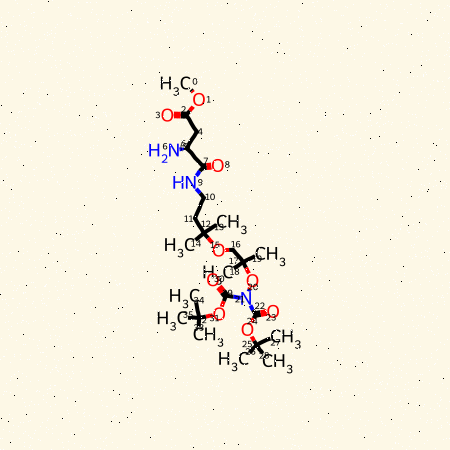 COC(=O)C[C@H](N)C(=O)NCCC(C)(C)OCC(C)(C)ON(C(=O)OC(C)(C)C)C(=O)OC(C)(C)C